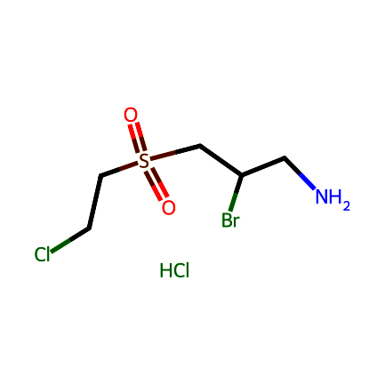 Cl.NCC(Br)CS(=O)(=O)CCCl